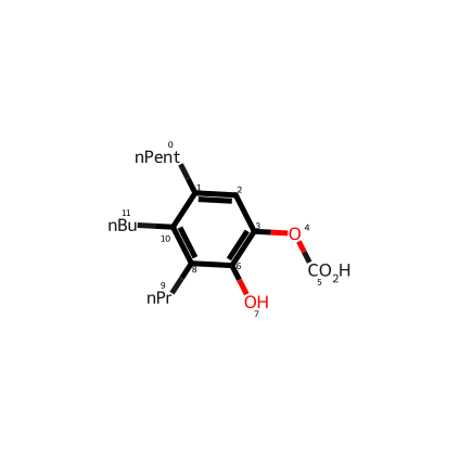 CCCCCc1cc(OC(=O)O)c(O)c(CCC)c1CCCC